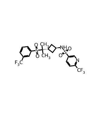 CC(C)([C@H]1C[C@H](NS(=O)(=O)c2ccc(C(F)(F)F)nc2)C1)S(=O)(=O)c1cccc(C(F)(F)F)c1